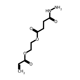 C=CC(=O)OCCOC(=O)CCC(=O)NN